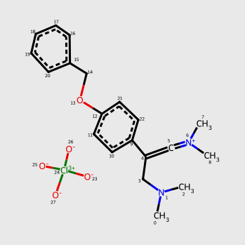 CN(C)CC(=C=[N+](C)C)c1ccc(OCc2ccccc2)cc1.[O-][Cl+3]([O-])([O-])[O-]